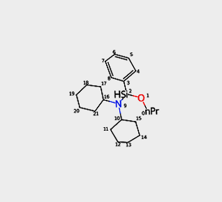 CCCO[SiH](c1ccccc1)N(C1CCCCC1)C1CCCCC1